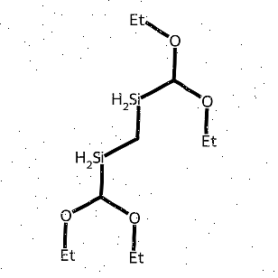 CCOC(OCC)[SiH2]C[SiH2]C(OCC)OCC